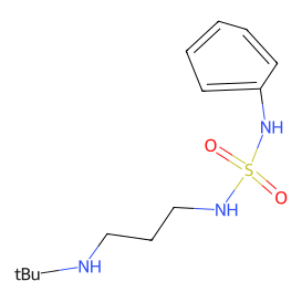 CC(C)(C)NCCCNS(=O)(=O)Nc1ccccc1